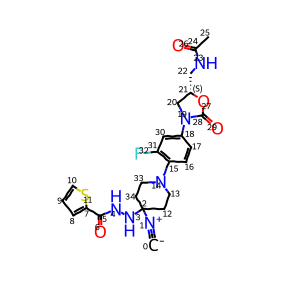 [C-]#[N+]C1(NNC(=O)c2cccs2)CCN(c2ccc(N3C[C@H](CNC(C)=O)OC3=O)cc2F)CC1